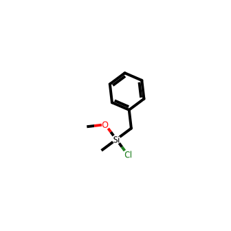 CO[Si](C)(Cl)Cc1ccccc1